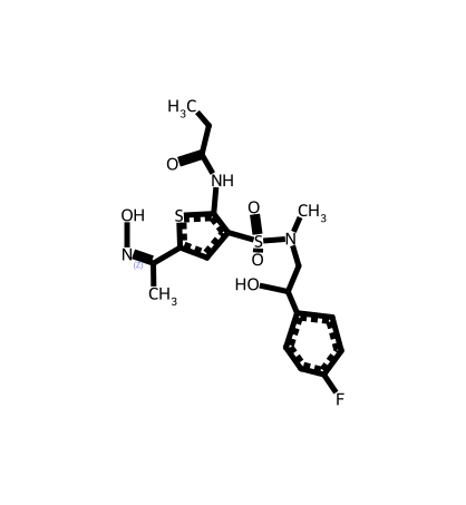 CCC(=O)Nc1sc(/C(C)=N\O)cc1S(=O)(=O)N(C)CC(O)c1ccc(F)cc1